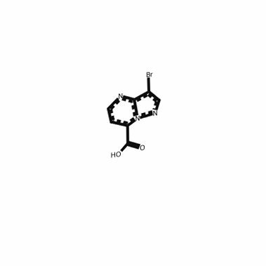 O=C(O)c1ccnc2c(Br)cnn12